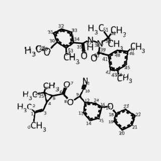 CC(C)=CC1C(C(=O)OC(C#N)c2cccc(Oc3ccccc3)c2)C1(C)C.COc1cccc(C(=O)NN(C(=O)c2cc(C)cc(C)c2)C(C)(C)C)c1C